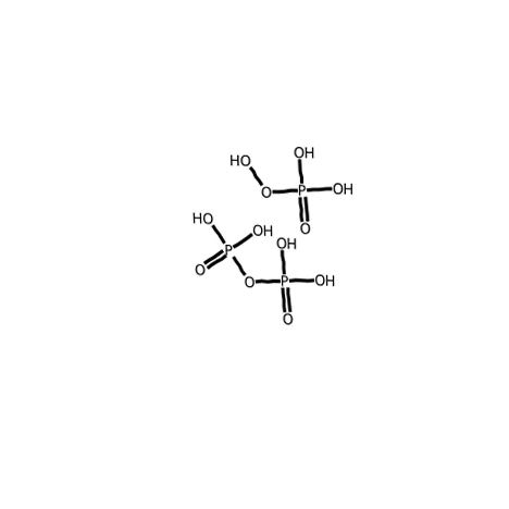 O=P(O)(O)OO.O=P(O)(O)OP(=O)(O)O